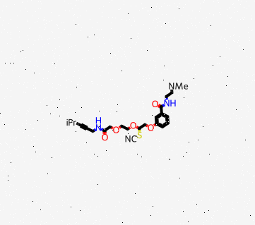 CNCCNC(=O)c1cccc(OCC(OCCOCC(=O)NCC#CC(C)C)SC#N)c1